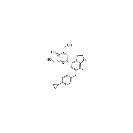 OC[C@@H]1C[C@H](c2cc(Cc3ccc(C4CC4)cc3)c(Cl)c3c2CCO3)O[C@H](CO)[C@H]1O